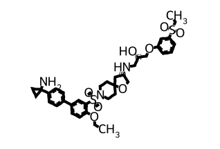 CCOc1ccc(-c2ccc(C3(N)CC3)cc2)cc1S(=O)(=O)N1CCC2(CC1)C[C@H](NC[C@H](O)COc1cccc(S(=O)(=O)CC)c1)CO2